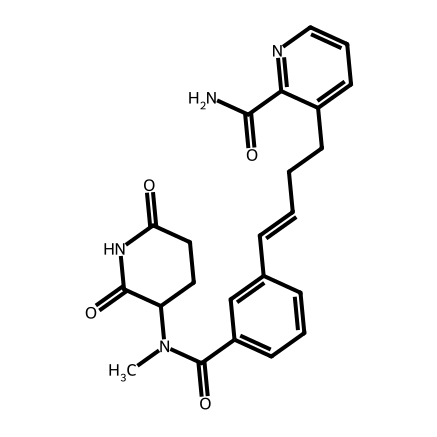 CN(C(=O)c1cccc(C=CCCc2cccnc2C(N)=O)c1)C1CCC(=O)NC1=O